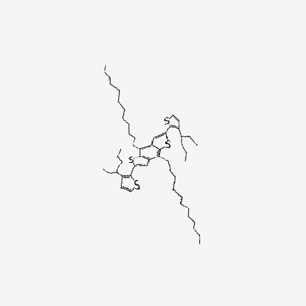 CCCCCCCCCCCCc1c2cc(-c3sccc3C(CC)CCC)sc2c(CCCCCCCCCCCC)c2cc(-c3sccc3C(CC)CCC)sc12